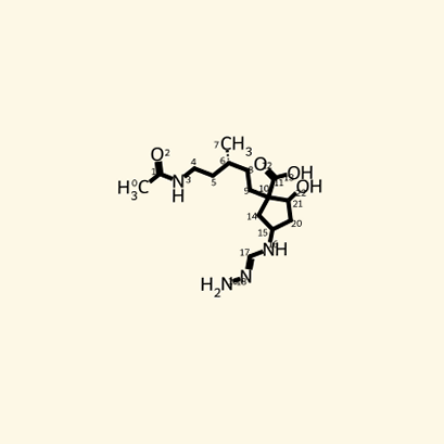 CC(=O)NCC[C@H](C)CCC1(C(=O)O)CC(NC=NN)CC1O